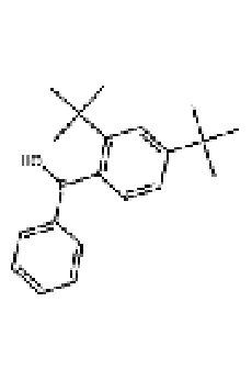 CC(C)(C)c1ccc(P(O)c2ccccc2)c(C(C)(C)C)c1